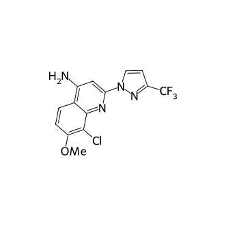 COc1ccc2c(N)cc(-n3ccc(C(F)(F)F)n3)nc2c1Cl